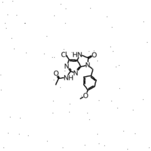 COc1ccc(Cn2c(=O)[nH]c3c(Cl)nc(NC(C)=O)nc32)cc1